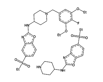 CCOc1cc(CN2CCC(Nc3nc4cc(S(=O)(=O)CC)ccc4o3)CC2)cc(OCC)c1F.CCS(=O)(=O)c1ccc2oc(NC3CCNCC3)nc2c1